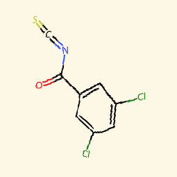 O=C(N=C=S)c1cc(Cl)cc(Cl)c1